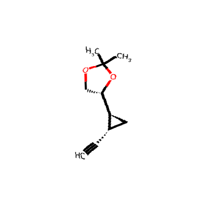 C#C[C@H]1C[C@@H]1[C@@H]1COC(C)(C)O1